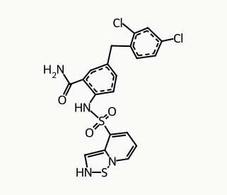 NC(=O)c1cc(Cc2ccc(Cl)cc2Cl)ccc1NS(=O)(=O)C1=CC=CN2SNC=C12